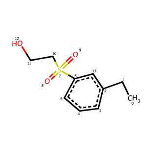 CCc1cccc(S(=O)(=O)CCO)c1